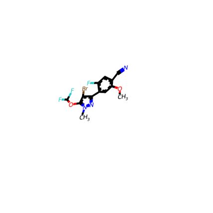 COc1cc(-c2nn(C)c(OC(F)F)c2Br)c(F)cc1C#N